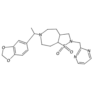 CC(c1ccc2c(c1)OCO2)N1CCC2CN(Cc3ncccn3)S(=O)(=O)C2CC1